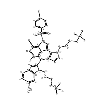 Cc1ccc(S(=O)(=O)n2cc(-c3ccnn3COCC[Si](C)(C)C)c3c(C(O)c4nc5ccc(C#N)cc5n4COCC[Si](C)(C)C)c(C)cc(C)c32)cc1